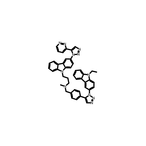 CCn1c2ccccc2c2cc(-n3nncc3-c3ccc(CN(C)CCCn4c5ccccc5c5cc(-n6nncc6-c6cccnn6)ccc54)cc3)ccc21